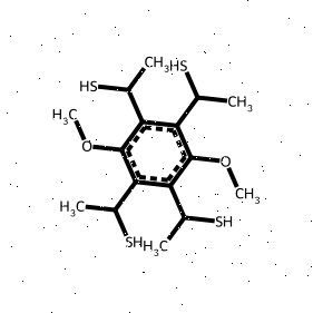 COc1c(C(C)S)c(C(C)S)c(OC)c(C(C)S)c1C(C)S